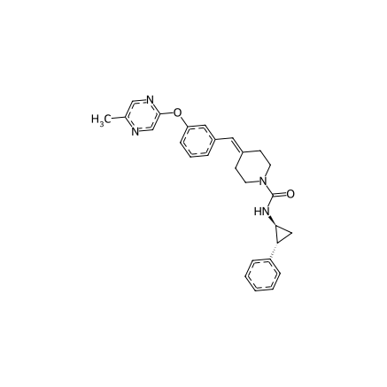 Cc1cnc(Oc2cccc(C=C3CCN(C(=O)N[C@H]4C[C@@H]4c4ccccc4)CC3)c2)cn1